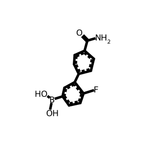 NC(=O)c1ccc(-c2cc(B(O)O)ccc2F)cc1